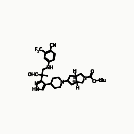 CC(C)(C)OC(=O)N1C[C@H]2CC(N3CCC(c4c[nH]nc4C(C)(C=O)CNc4ccc(C#N)c(C(F)(F)F)c4)CC3)C[C@H]2C1